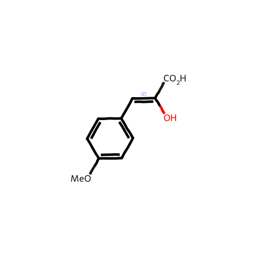 COc1ccc(/C=C(\O)C(=O)O)cc1